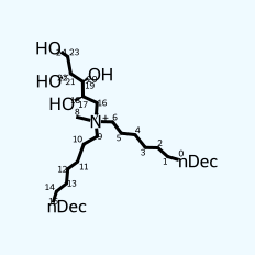 CCCCCCCCCCCCCCCC[N+](C)(CCCCCCCCCCCCCCCC)C[C@@H](O)[C@H](O)[C@H](O)CO